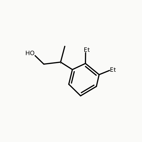 CCc1cccc([C](C)CO)c1CC